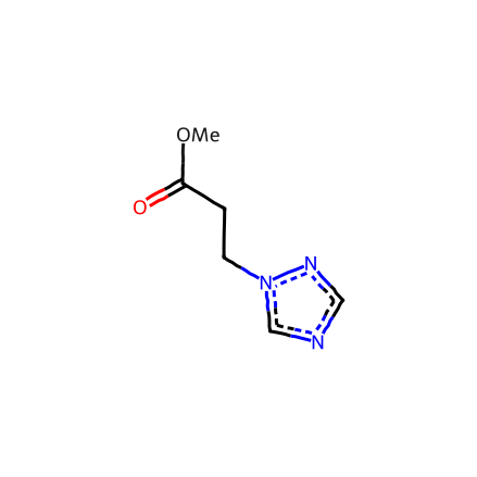 COC(=O)CCn1cncn1